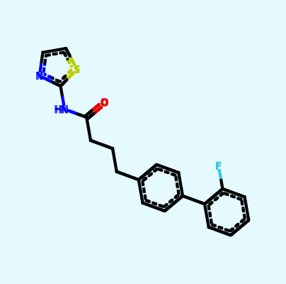 O=C(CCCc1ccc(-c2ccccc2F)cc1)Nc1nccs1